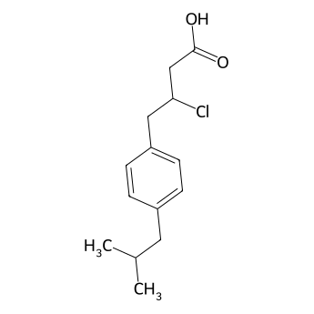 CC(C)Cc1ccc(CC(Cl)CC(=O)O)cc1